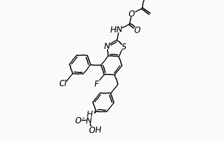 C=C(C)OC(=O)Nc1nc2c(-c3cccc(Cl)c3)c(F)c(Cc3ccc([NH+]([O-])O)cc3)cc2s1